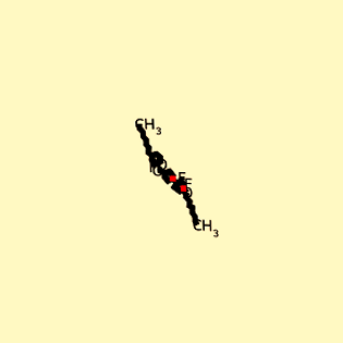 CCCCCCCCOc1ccc(-c2ccc(C(=O)Oc3ccc(CCCCCCCC)cc3F)cc2)c(F)c1F